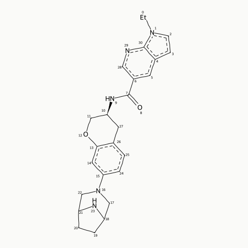 CCn1ccc2cc(C(=O)N[C@@H]3COc4cc(N5CC6CCC(C5)N6)ccc4C3)cnc21